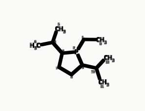 CCP1C(C(C)C)CCC1C(C)C